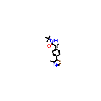 Cc1ncsc1-c1ccc([C@H](C)C(=O)NC(C)(C)C)cc1